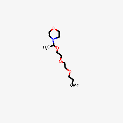 COCCOCCOCCOC(C)N1CCOCC1